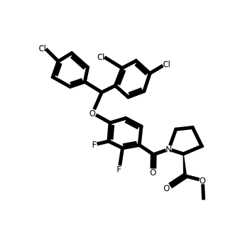 COC(=O)[C@@H]1CCCN1C(=O)c1ccc(OC(c2ccc(Cl)cc2)c2ccc(Cl)cc2Cl)c(F)c1F